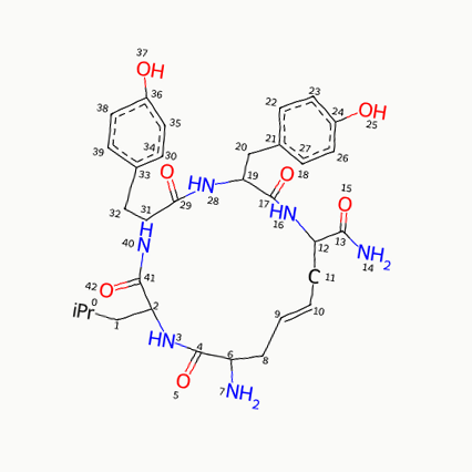 CC(C)CC1NC(=O)C(N)C/C=C/CC(C(N)=O)NC(=O)C(Cc2ccc(O)cc2)NC(=O)C(Cc2ccc(O)cc2)NC1=O